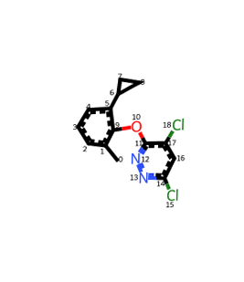 Cc1cccc(C2CC2)c1Oc1nnc(Cl)cc1Cl